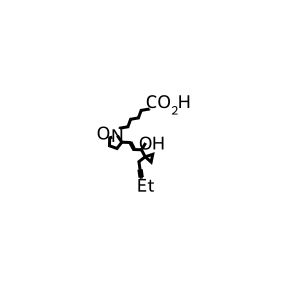 CCC#CCC1(C(O)C=CC2CCC(=O)N2CCCCCCC(=O)O)CC1